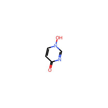 O=c1ccn(O)cn1